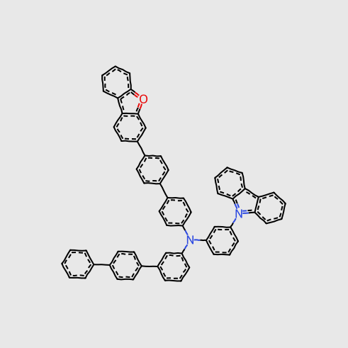 c1ccc(-c2ccc(-c3cccc(N(c4ccc(-c5ccc(-c6ccc7c(c6)oc6ccccc67)cc5)cc4)c4cccc(-n5c6ccccc6c6ccccc65)c4)c3)cc2)cc1